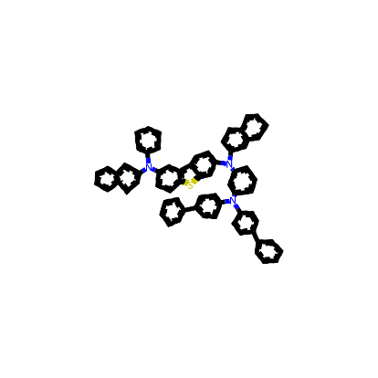 c1ccc(-c2ccc(N(c3ccc(-c4ccccc4)cc3)c3cccc(N(c4ccc5ccccc5c4)c4ccc5c(c4)sc4ccc(N(c6ccccc6)c6ccc7ccccc7c6)cc45)c3)cc2)cc1